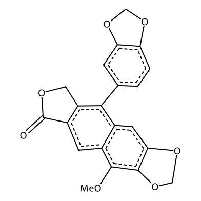 COc1c2c(cc3c(-c4ccc5c(c4)OCO5)c4c(cc13)C(=O)OC4)OCO2